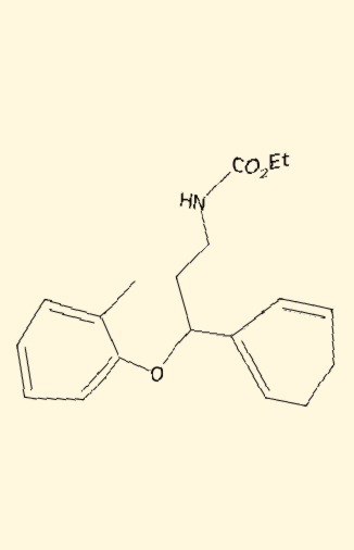 CCOC(=O)NCCC(Oc1ccccc1C)C1=CCCC=C1